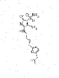 CNCc1ccc(CSCCNc2n[s+]([O-])c(S(N)(=O)=O)c2N)o1